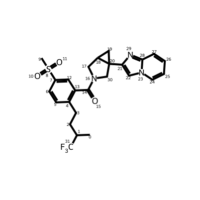 CC(CCc1ccc(S(C)(=O)=O)cc1C(=O)N1CC2CC2(c2cn3ccccc3n2)C1)C(F)(F)F